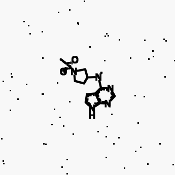 CN(c1ncnc2[nH]ccc12)C1CCN(S(C)(=O)=O)C1